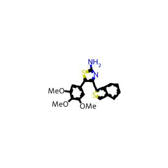 COc1cc(-c2sc(N)nc2-c2scc3ccccc23)cc(OC)c1OC